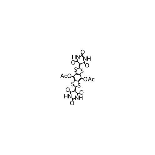 CC(=O)Oc1c2c(c(OC(C)=O)c3c1SC(=C1C(=O)NC(=O)NC1=O)S3)SC(=C1C(=O)NC(=O)NC1=O)S2